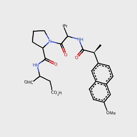 COc1ccc2cc([C@H](C)C(=O)NC(C(=O)N3CCCC3C(=O)NC(C=O)CC(=O)O)C(C)C)ccc2c1